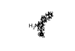 Cn1ccnc1CN1CCN(c2cc3nc(-c4ccco4)nn3c(N)n2)CC1